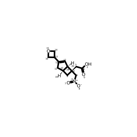 O=C(O)C[C@@]1(C[N+](=O)[O-])C[C@H]2CC(C3COC3)=C[C@H]21